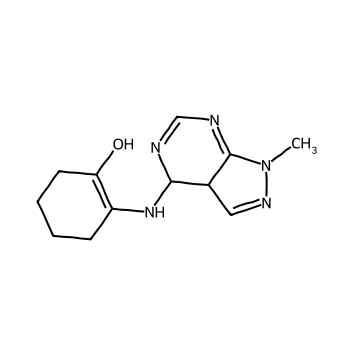 CN1N=CC2C1=NC=NC2NC1=C(O)CCCC1